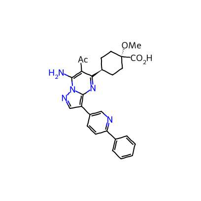 CO[C@]1(C(=O)O)CC[C@@H](c2nc3c(-c4ccc(-c5ccccc5)nc4)cnn3c(N)c2C(C)=O)CC1